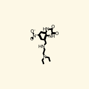 CCN(CC)CCNCc1cc([N+](=O)[O-])cc2[nH]c(=O)c(=O)[nH]c12